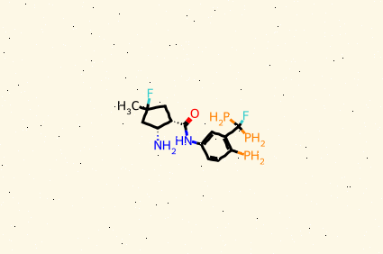 CC1(F)C[C@@H](N)[C@@H](C(=O)Nc2ccc(P)c(C(F)(P)P)c2)C1